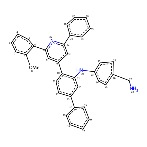 COc1ccccc1-c1cc(-c2ccc(-c3ccccc3)cc2Nc2ccc(CN)cc2)cc(-c2ccccc2)n1